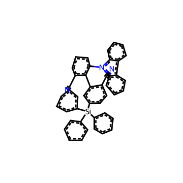 N#Cc1ccc([Si](c2ccccc2)(c2ccccc2)c2ccccc2)cc1-c1c(C#N)cccc1-n1c2ccccc2c2ccccc21